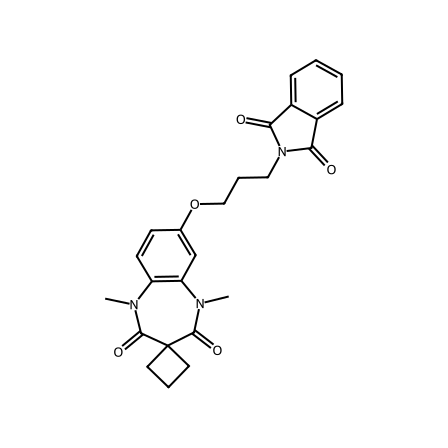 CN1C(=O)C2(CCC2)C(=O)N(C)c2cc(OCCCN3C(=O)c4ccccc4C3=O)ccc21